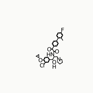 Cc1cc(F)ccc1-c1ccc(C(=O)C(=O)NC(CN2CCCC2)C(O)c2ccc(OC3CC3)c(Cl)c2)cc1